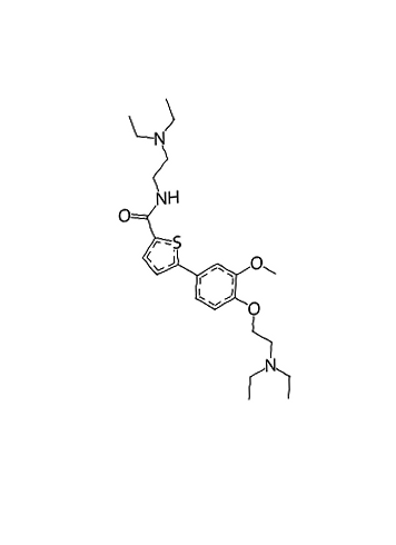 CCN(CC)CCNC(=O)c1ccc(-c2ccc(OCCN(CC)CC)c(OC)c2)s1